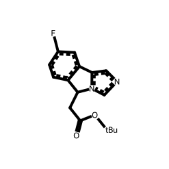 CC(C)(C)OC(=O)CC1c2ccc(F)cc2-c2cncn21